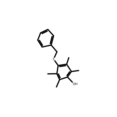 Cc1c(C)c(SCc2ccccc2)c(C)c(C)c1O